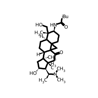 CCC(C)C(=O)N[C@H]1CCC23CC24C(=O)C[C@]2(C)[C@@H]([C@H](C)N(C)C)[C@H](O)C[C@@]2(C)[C@@H]4CC[C@H]3[C@]1(C)CO